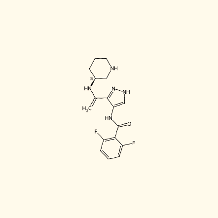 C=C(N[C@H]1CCCNC1)c1n[nH]cc1NC(=O)c1c(F)cccc1F